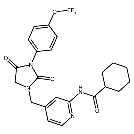 O=C(Nc1cc(CN2CC(=O)N(c3ccc(OC(F)(F)F)cc3)C2=O)ccn1)C1CCCCC1